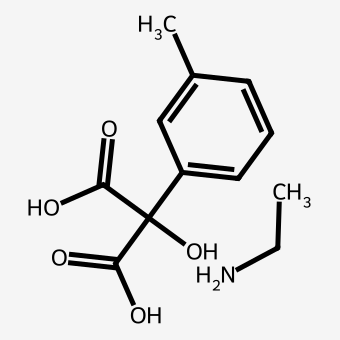 CCN.Cc1cccc(C(O)(C(=O)O)C(=O)O)c1